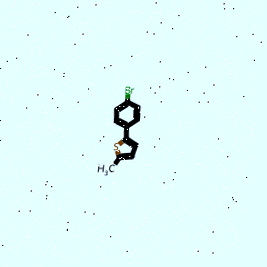 Cc1[c]cc(-c2ccc(Br)cc2)s1